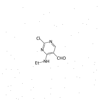 CCNc1nc(Cl)ncc1C=O